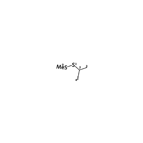 CSSC(C)I